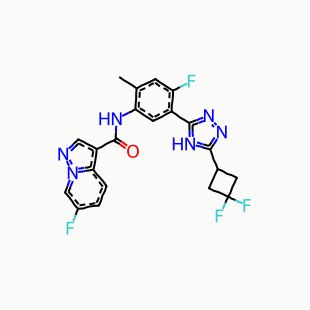 Cc1cc(F)c(-c2nnc(C3CC(F)(F)C3)[nH]2)cc1NC(=O)c1cnn2cc(F)ccc12